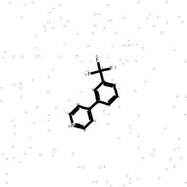 FC(F)(F)c1cc[c]c(-c2ccncc2)c1